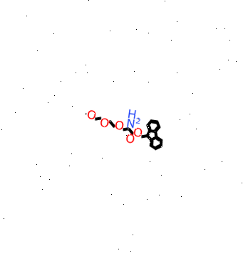 NC(COCCOCC[O])C(=O)OCC1c2ccccc2-c2ccccc21